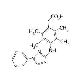 Cc1c(C)c(Nc2ccn(-c3ccccc3)n2)c(C)c(C)c1CC(=O)O